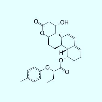 CC[C@@H](Oc1ccc(C)cc1)C(=O)O[C@H]1CCC=C2C=C[C@H](C)[C@H](CC[C@@H]3C[C@@H](O)CC(=O)O3)[C@H]21